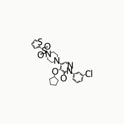 O=c1c(OC2CCCC2)c(N2CCN(S(=O)(=O)c3cccs3)CC2)cnn1-c1cccc(Cl)c1